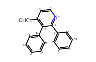 O=Cc1ccnc(-c2ccccc2)c1-c1ccccc1